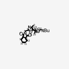 Cc1nc(CN2C(=O)c3ccccc3C2=O)oc1C(C)(C)O[SiH2]C(C)(C)C